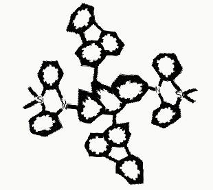 C[Si]1(C)c2ccccc2N(c2ccc3c(-c4ccc5c6c(cccc46)-c4ccccc4-5)c4cc(N5c6ccccc6[Si](C)(C)c6ccccc65)ccc4c(-c4ccc5c6c(cccc46)-c4ccccc4-5)c3c2)c2ccccc21